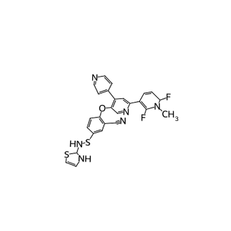 CN1C(F)=C(c2cc(-c3ccncc3)c(Oc3ccc(SNC4NC=CS4)cc3C#N)cn2)C=CC1F